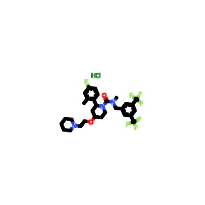 Cc1cc(F)ccc1C1CC(OCCN2CCCCC2)CCN1C(=O)N(C)Cc1cc(C(F)(F)F)cc(C(F)(F)F)c1.Cl